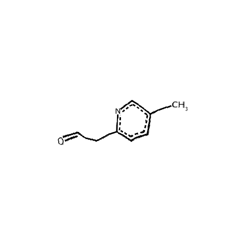 Cc1ccc(CC=O)nc1